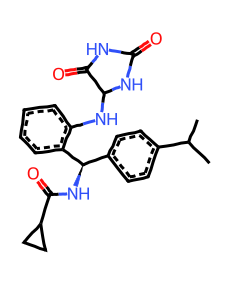 CC(C)c1ccc([C@@H](NC(=O)C2CC2)c2ccccc2NC2NC(=O)NC2=O)cc1